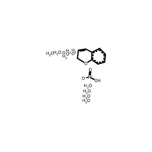 C1=Cc2ccccc2OC1.O.O.O.O.O.O.O.O.O.O=[N+]([O-])O